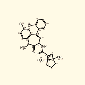 CN1C(=O)C(NC(=S)N2C3CC4CCC3(C)C42C)N=C(c2ccccc2Cl)c2cc(Cl)ccc21